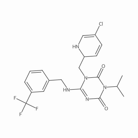 CC(C)n1c(=O)nc(NCc2cccc(C(F)(F)F)c2)n(CC2C=CC(Cl)=CN2)c1=O